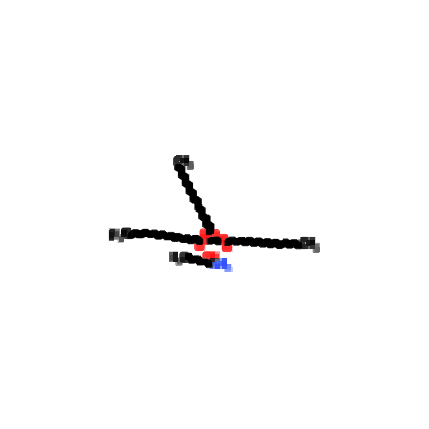 CCCCCC(O)CN.CCCCCCCCCCCCCCCCCC(=O)OCC(COC(=O)CCCCCCCCCCCCCCCCC)OC(=O)CCCCCCCCCCCCCCCCC